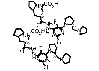 O=C(O)NC[C@@H](CC1CCCC1)C(=O)NNc1nc(Cl)nc(N2CCC[C@H]2CN2CCCC2)c1F.O=C(O)NC[C@@H](CC1CCCC1)C(=O)NNc1nc(Cl)nc(N2CCC[C@H]2CN2CCCC2)c1F